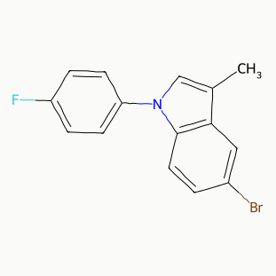 Cc1cn(-c2ccc(F)cc2)c2ccc(Br)cc12